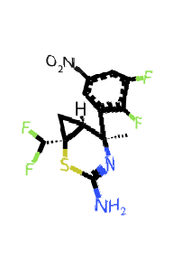 C[C@]1(c2cc([N+](=O)[O-])cc(F)c2F)N=C(N)S[C@@]2(C(F)F)C[C@@H]12